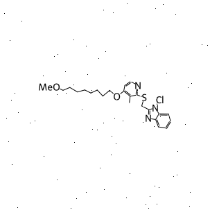 COCCCCCCCCOc1ccnc(SCc2nc3ccccc3n2Cl)c1C